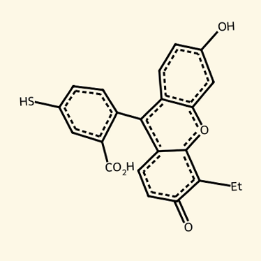 CCc1c2oc3cc(O)ccc3c(-c3ccc(S)cc3C(=O)O)c-2ccc1=O